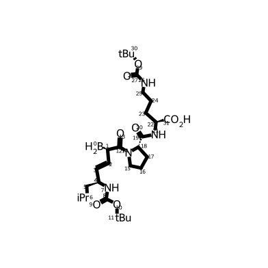 B[C@@H](/C=C/[C@H](CC(C)C)NC(=O)OC(C)(C)C)C(=O)N1CCC[C@H]1C(=O)N[C@@H](CCCNC(=O)OC(C)(C)C)C(=O)O